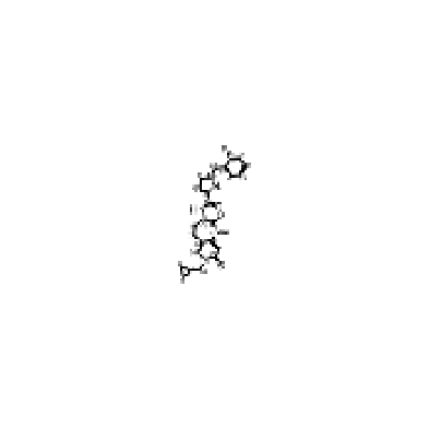 CN1C(=O)[C@@H](NC(=O)c2ncn(Cc3ccccc3F)n2)CCc2cn(CC3CC3)c(=O)cc21